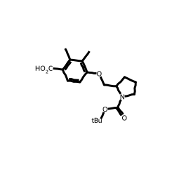 Cc1c(OCC2CCCN2C(=O)OC(C)(C)C)ccc(C(=O)O)c1C